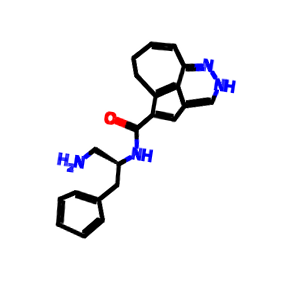 NC[C@H](Cc1ccccc1)NC(=O)c1cc2c[nH]nc3c-2c1CCC=C3